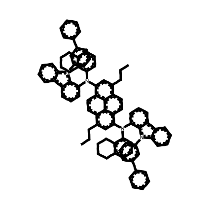 CCCc1cc(N(c2cccc3c2CCCC3)c2cccc3c4ccccc4n(-c4cccc(-c5ccccc5)c4)c23)c2ccc3c(CCC)cc(N(c4cccc5c4CCCC5)c4cccc5c6ccccc6n(-c6cccc(-c7ccccc7)c6)c45)c4ccc1c2c34